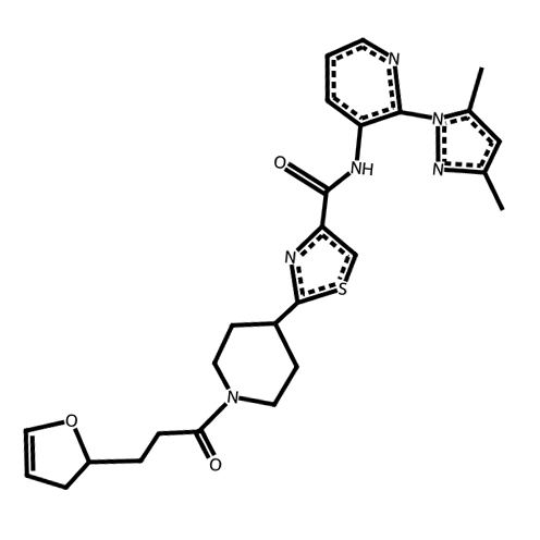 Cc1cc(C)n(-c2ncccc2NC(=O)c2csc(C3CCN(C(=O)CCC4CC=CO4)CC3)n2)n1